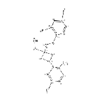 Cc1cnc(Cl)nc1N1CC(CC#N)(NCc2ccc(F)cc2F)C1